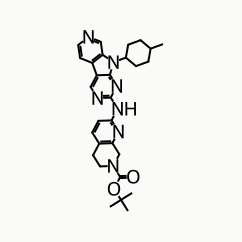 CC1CCC(n2c3cnccc3c3cnc(Nc4ccc5c(n4)CN(C(=O)OC(C)(C)C)CC5)nc32)CC1